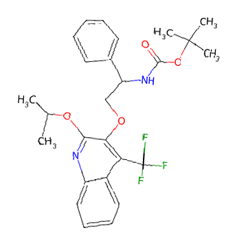 CC(C)Oc1nc2ccccc2c(C(F)(F)F)c1OCC(NC(=O)OC(C)(C)C)c1ccccc1